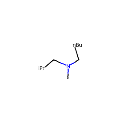 CCCCCN(C)CC(C)C